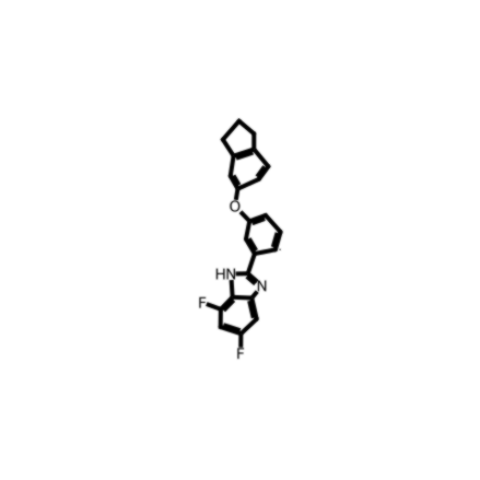 Fc1cc(F)c2[nH]c(-c3[c]ccc(Oc4ccc5c(c4)CCC5)c3)nc2c1